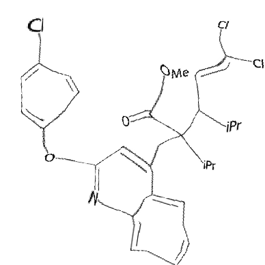 COC(=O)C(c1cc(Oc2ccc(Cl)cc2)nc2ccccc12)(C(C)C)C(C=C(Cl)Cl)C(C)C